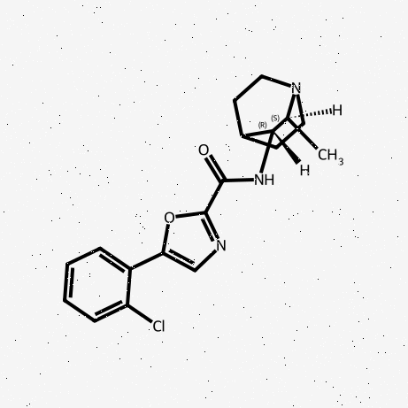 C[C@H]1[C@H](NC(=O)c2ncc(-c3ccccc3Cl)o2)C2CCN1CC2